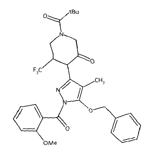 COc1ccccc1C(=O)n1nc(C2C(=O)CN(C(=O)C(C)(C)C)CC2C(F)(F)F)c(C)c1OCc1ccccc1